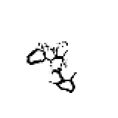 CCCN(CCC)c1c(C)nc(-c2c(C)cccc2C)nc1-c1ccccc1